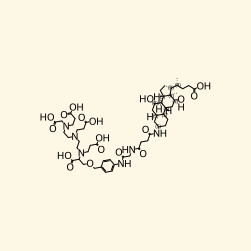 C[C@H](CCC(=O)O)[C@H]1CC[C@H]2[C@@H]3[C@H](O)C[C@@H]4C[C@@H](NC(=O)CCC(=O)NCC(=O)Nc5ccc(COCC(C(=O)O)N(CCC(=O)O)CCN(CCC(=O)O)CCN(CCC(=O)O)CC(=O)O)cc5)CC[C@]4(C)[C@H]3C[C@H](O)[C@]12C